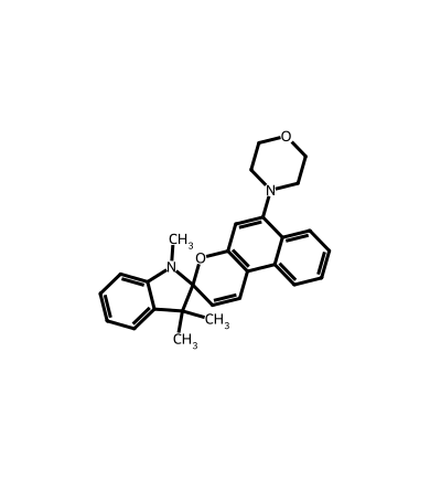 CN1c2ccccc2C(C)(C)C12C=Cc1c(cc(N3CCOCC3)c3ccccc13)O2